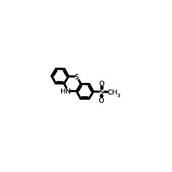 CS(=O)(=O)c1ccc2c(c1)Sc1ccccc1N2